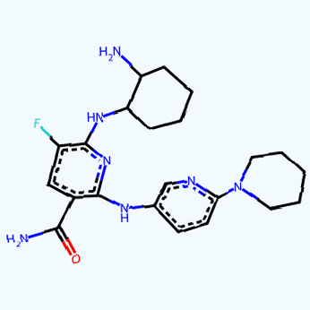 NC(=O)c1cc(F)c(NC2CCCCC2N)nc1Nc1ccc(N2CCCCC2)nc1